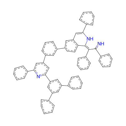 N=C(/C(=C1\NC(c2ccccc2)=Cc2cc(-c3cccc(-c4cc(-c5ccccc5)nc(-c5cc(-c6ccccc6)cc(-c6ccccc6)c5)c4)c3)ccc21)c1ccccc1)c1ccccc1